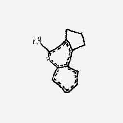 Nc1nc2ccccc2c2c1CCC2